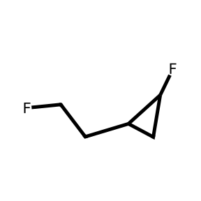 FCCC1CC1F